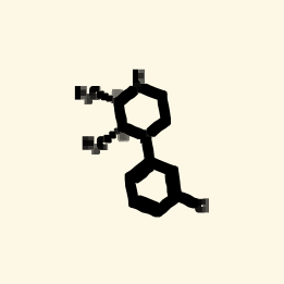 C[C@@H]1NCCN(c2cccc(Cl)c2)[C@@H]1C